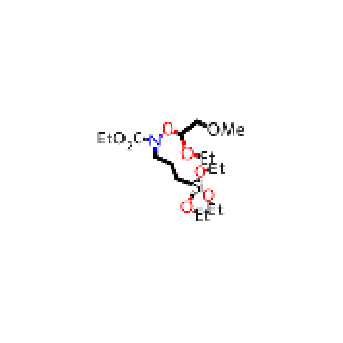 CCOC(=O)N(CCC[Si](OCC)(OCC)OCC)OC(COC)OCC